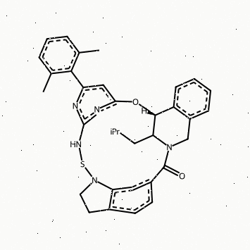 Cc1cccc(C)c1-c1cc2nc(n1)NSN1CCc3ccc(cc31)C(=O)N1Cc3ccccc3[C@@H](O2)C1CC(C)C